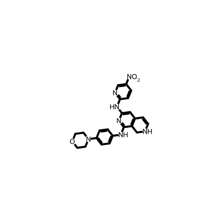 O=[N+]([O-])c1ccc(Nc2cc3c(c(Nc4ccc(N5CCOCC5)cc4)n2)CNC=C3)nc1